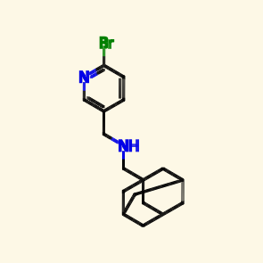 Brc1ccc(CNCC23CC4CC(CC(C4)C2)C3)cn1